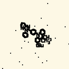 CC(C)(C)c1ccc2c(c1)C(C)(C)c1ccccc1N2c1ccc(-c2nc3cccnc3n2-c2ccccc2)cc1